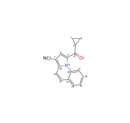 N#Cc1cc(C(=O)C2CC2)n2c1ccc1ccccc12